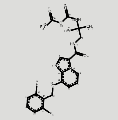 CCCC(C)(CNC(=O)c1cnc2c(OCc3c(F)cccc3F)cccn12)NC(=O)OC(=O)C(F)(F)F